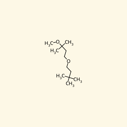 COC(C)(C)CCOCCC(C)(C)C